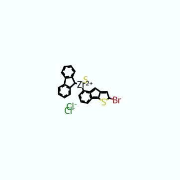 [Cl-].[Cl-].[S]=[Zr+2]([c]1cccc2c1=CC1=CC(Br)SC=21)[CH]1c2ccccc2-c2ccccc21